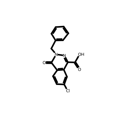 O=C(O)c1nn(Cc2ccccc2)c(=O)c2ccc(Cl)cc12